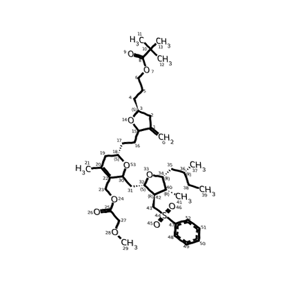 C=C1C[C@H](CCCOC(=O)C(C)(C)C)OC1CC[C@H]1CC(C)=C(COC(=O)COC)C(C[C@@H]2O[C@H](C[C@H](C)CC)[C@H](C)[C@H]2CS(=O)(=O)c2ccccc2)O1